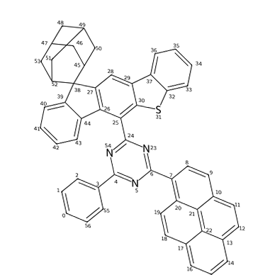 c1ccc(-c2nc(-c3ccc4ccc5cccc6ccc3c4c56)nc(-c3c4c(cc5c3sc3ccccc35)C3(c5ccccc5-4)C4CC5CC(C4)CC3C5)n2)cc1